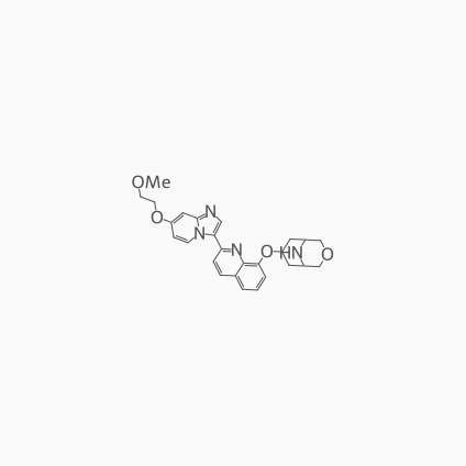 COCCOc1ccn2c(-c3ccc4cccc(OC5CC6COCC(C5)N6)c4n3)cnc2c1